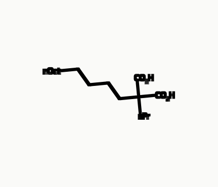 CCCCCCCCCCCCC(CCC)(C(=O)O)C(=O)O